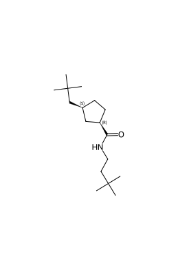 CC(C)(C)CCNC(=O)[C@@H]1CC[C@H](CC(C)(C)C)C1